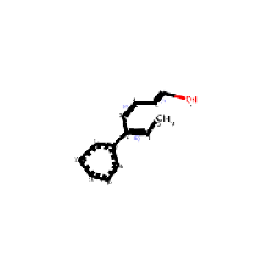 C\C=C(/C=C\C=C\O)c1ccccc1